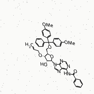 C=CCO[C@H]1[C@@H](O)[C@H](n2cnc3c(NC(=O)c4ccccc4)ncnc32)O[C@@H]1COC(c1ccccc1)(c1ccc(OC)cc1)c1ccc(OC)cc1